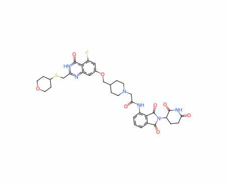 O=C1CCC(N2C(=O)c3cccc(NC(=O)CN4CCC(COc5cc(F)c6c(=O)[nH]c(CSC7CCOCC7)nc6c5)CC4)c3C2=O)C(=O)N1